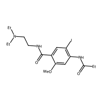 CCC(=O)Nc1cc(OC)c(C(=O)NCCN(CC)CC)cc1I